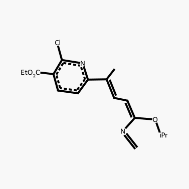 C=N/C(=C\C=C(/C)c1ccc(C(=O)OCC)c(Cl)n1)OC(C)C